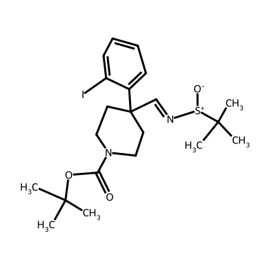 CC(C)(C)OC(=O)N1CCC(C=N[S+]([O-])C(C)(C)C)(c2ccccc2I)CC1